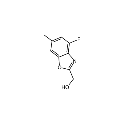 Cc1cc(F)c2nc(CO)oc2c1